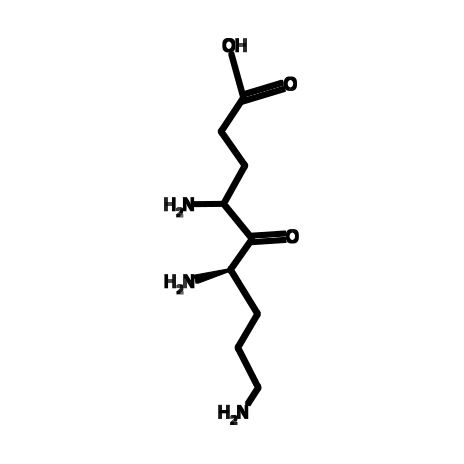 NCCC[C@@H](N)C(=O)C(N)CCC(=O)O